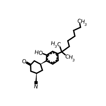 CCCCCCC(C)(C)c1ccc([C@@H]2CC(=O)C[C@H](C#N)C2)c(O)c1